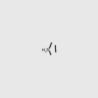 CC.C[SiH2]C